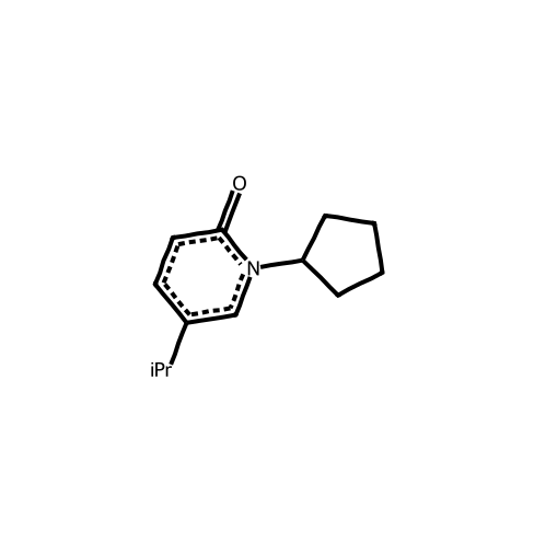 CC(C)c1ccc(=O)n(C2CCCC2)c1